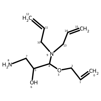 C=CCOC(C(O)CN)N(CC=C)CC=C